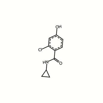 O=C(NC1CC1)c1ccc(O)cc1Cl